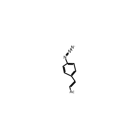 CC(=O)C=Cc1ccc(N=[N+]=[N-])cc1